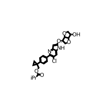 CC(C)C(=O)OCC1(c2ccc(-c3nc4cc(O[C@@H]5COC6C5OC[C@H]6O)[nH]c4cc3Cl)cc2)CC1